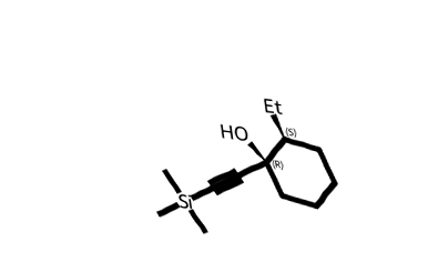 CC[C@H]1CCCC[C@]1(O)C#C[Si](C)(C)C